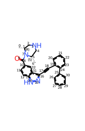 C[C@@H]1CNC[C@H](C)N1C(=O)c1ccc2[nH]nc(C#Cc3ccccc3-c3ccccc3)c2c1